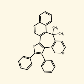 CC1(C)C2=C(CNC=C2)c2c(sc(-c3ccccc3)c2-c2ccccc2)-c2ccc3ccccc3c21